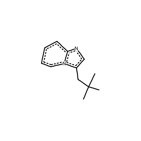 CC(C)(C)Cc1cnc2ccccn12